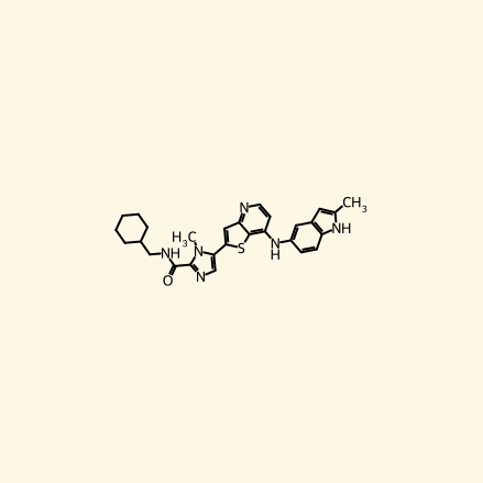 Cc1cc2cc(Nc3ccnc4cc(-c5cnc(C(=O)NCC6CCCCC6)n5C)sc34)ccc2[nH]1